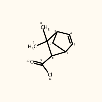 CC1(C)C2C=CC(C2)C1C(=O)Cl